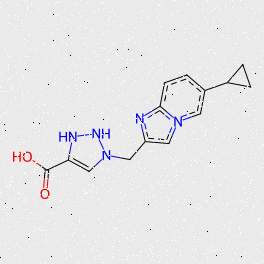 O=C(O)C1=CN(Cc2cn3cc(C4CC4)ccc3n2)NN1